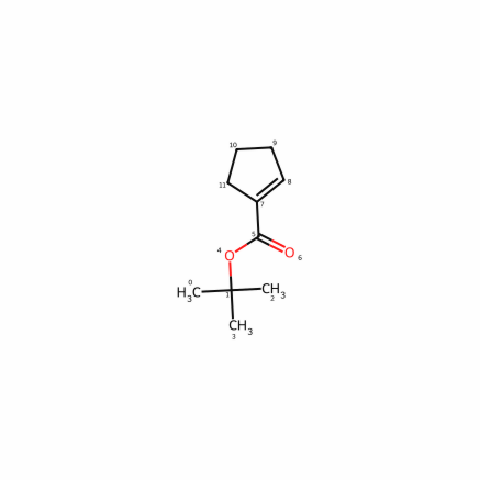 CC(C)(C)OC(=O)C1=CCCC1